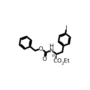 CCOC(=O)[C@H](Cc1ccc(I)cc1)NC(=O)OCc1ccccc1